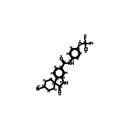 O=C(Nc1ccc(OC(F)(F)Cl)cc1)c1ccc2c(c1)NC(=O)C21CCC(Br)CC1